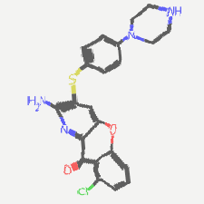 Nc1nc2c(=O)c3c(Cl)cccc3oc2cc1Sc1ccc(N2CCNCC2)cc1